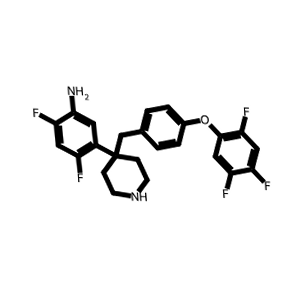 Nc1cc(C2(Cc3ccc(Oc4cc(F)c(F)cc4F)cc3)CCNCC2)c(F)cc1F